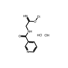 CCOC(=N)CNC(=O)c1cccnc1.Cl.Cl